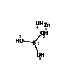 OB(O)O.[LiH].[Zn]